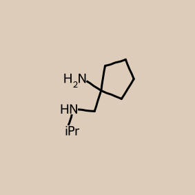 CC(C)NCC1(N)CCCC1